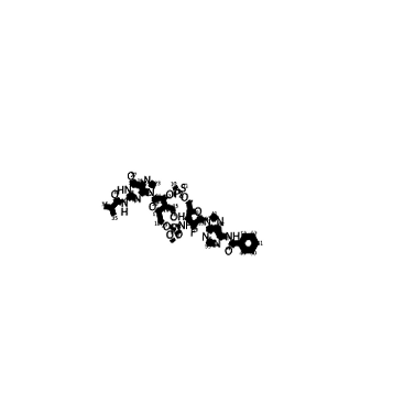 COP1(=O)NC2C(COP(C)(=S)OC3C(CO)C(CO1)OC3n1cnc3c(=O)[nH]c(NC(=O)C(C)C)nc31)OC(n1cnc3c(NC(=O)c4ccccc4)ncnc31)C2F